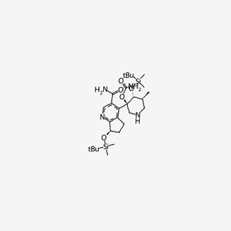 C[C@H]1CNC[C@](OC(N)=O)(c2c(C(N)=O)cnc3c2CC[C@H]3O[Si](C)(C)C(C)(C)C)[C@@H]1O[Si](C)(C)C(C)(C)C